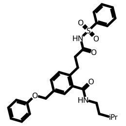 CC(C)CCNC(=O)c1cc(COc2ccccc2)ccc1CCC(=O)NS(=O)(=O)c1ccccc1